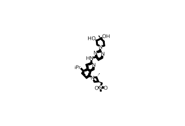 CC(C)c1ccc(N2C[C@H](CS(C)(=O)=O)[C@H]2C)c2cnc(Nc3ccnc(N4CC[C@@](C)(O)[C@H](O)C4)n3)cc12